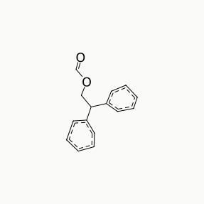 O=COCC(c1ccccc1)c1ccccc1